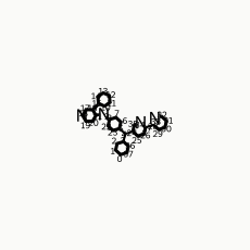 c1ccc(C(c2ccc(-n3c4ccccc4c4cnccc43)cc2)c2ccc(-c3ccccn3)nc2)cc1